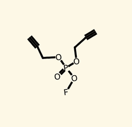 C#CCOP(=O)(OF)OCC#C